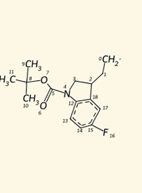 [CH2]CC1CN(C(=O)OC(C)(C)C)c2ccc(F)cc21